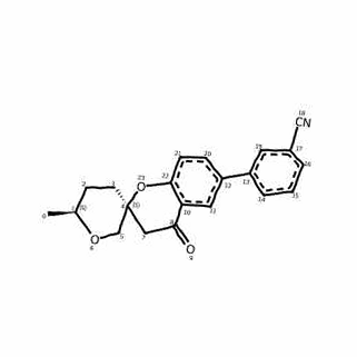 C[C@H]1CC[C@@]2(CO1)CC(=O)c1cc(-c3cccc(C#N)c3)ccc1O2